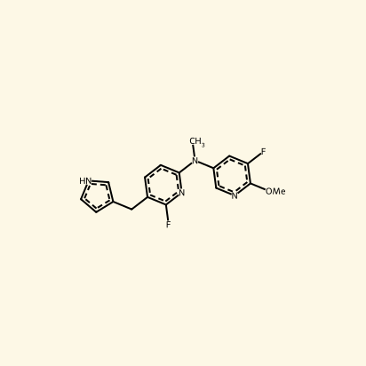 COc1ncc(N(C)c2ccc(Cc3cc[nH]c3)c(F)n2)cc1F